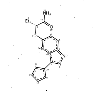 CC[C@@H](Sc1ccc2nnc(-c3cccs3)n2n1)C(N)=O